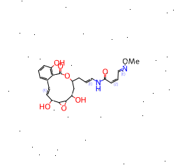 CO/N=C/C=C\C(=O)N/C=C/CC1CC(O)C2OC2C(O)/C=C/c2cccc(O)c2C(=O)O1